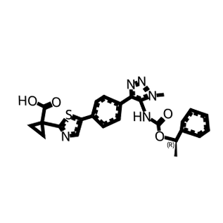 C[C@@H](OC(=O)Nc1c(-c2ccc(-c3cnc(C4(C(=O)O)CC4)s3)cc2)nnn1C)c1ccccc1